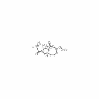 CCCOB1CCC[C@H]2CN(C(=O)[C@H](C)N)C[C@@]2(N)C(=O)O1